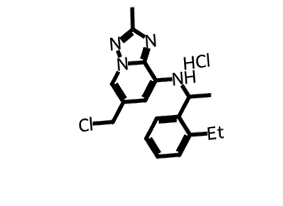 CCc1ccccc1C(C)Nc1cc(CCl)cn2nc(C)nc12.Cl